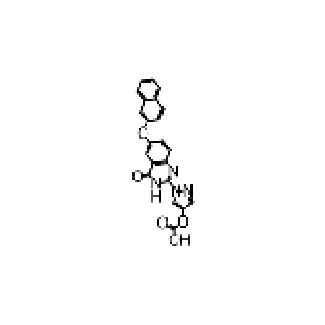 O=C(O)Oc1cnn(-c2nc3ccc(Oc4ccc5ccccc5c4)cc3c(=O)[nH]2)c1